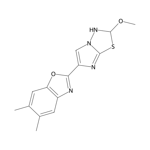 COC1Nn2cc(-c3nc4cc(C)c(C)cc4o3)nc2S1